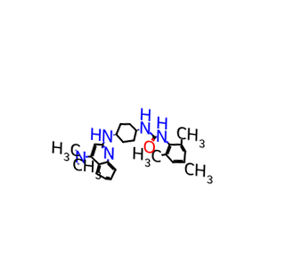 Cc1cc(C)c(NC(=O)N[C@H]2CC[C@@H](Nc3cc(N(C)C)c4ccccc4n3)CC2)c(C)c1